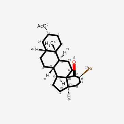 CC(=O)O[C@@H]1CC[C@@]2(C)[C@H](CC[C@H]3[C@@H]4CC[C@@H]5CC[C@H](Br)C(=O)C54CC[C@@H]32)C1